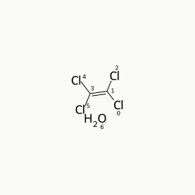 ClC(Cl)=C(Cl)Cl.O